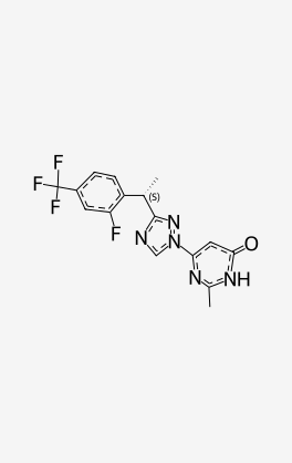 Cc1nc(-n2cnc([C@@H](C)c3ccc(C(F)(F)F)cc3F)n2)cc(=O)[nH]1